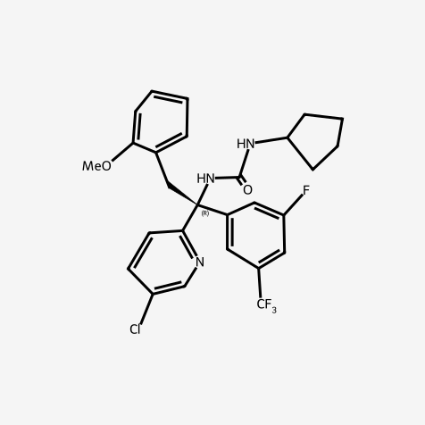 COc1ccccc1C[C@@](NC(=O)NC1CCCC1)(c1cc(F)cc(C(F)(F)F)c1)c1ccc(Cl)cn1